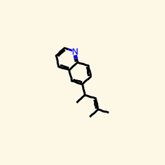 CC(C)=CC(C)c1ccc2ncccc2c1